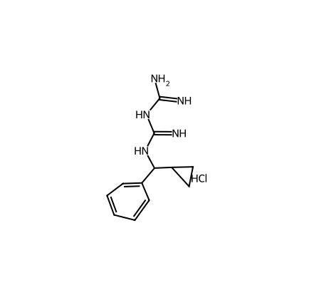 Cl.N=C(N)NC(=N)NC(c1ccccc1)C1CC1